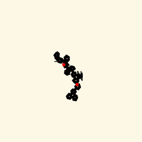 c1cc(-c2ccc3c4ccccc4c4ccccc4c3c2)cc(-c2ccc3c4ccc(-c5cccc6c5c5ccccc5n6-c5ccc6c(c5)c5ccccc5n6-c5ccc6sc7ccccc7c6c5)cc4c4nccnc4c3c2)c1